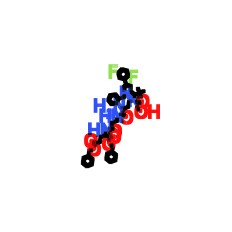 CC(C)(C)C(c1cc(-c2cc(F)ccc2F)cn1Cc1ccccc1)N(CCC(N)C(=O)NCCC(=O)NC(CCC(=O)OCc1ccccc1)C(=O)OCc1ccccc1)C(=O)CO